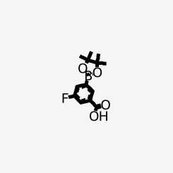 CC1(C)OB(c2cc(F)cc(C(=O)O)c2)OC1(C)C